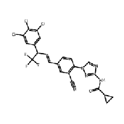 N#Cc1cc(/C=C/C(c2cc(Cl)c(Cl)c(Cl)c2)C(F)(F)F)ccc1-n1cnc(NC(=O)C2CC2)n1